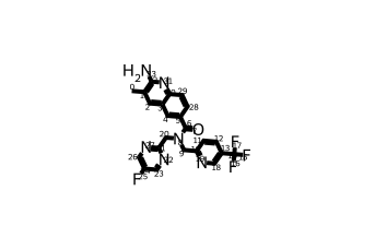 Cc1cc2cc(C(=O)N(Cc3ccc(C(F)(F)F)cn3)Cc3ncc(F)cn3)ccc2nc1N